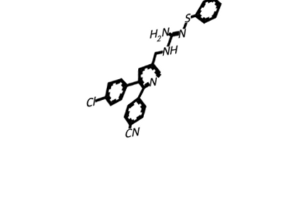 N#Cc1ccc(-c2ncc(CN/C(N)=N/Sc3ccccc3)cc2-c2ccc(Cl)cc2)cc1